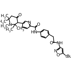 CN1C(C)(C)CC(=O)C(c2ccc(C(=O)Nc3ccc(CC(=O)Nc4cc(C(C)(C)C)on4)cc3)nc2)C1(C)C